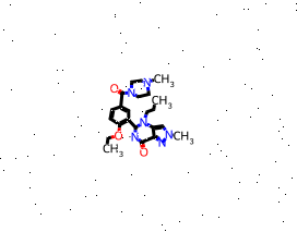 CCCN1c2cn(C)nc2C(=O)[N]C1c1cc(C(=O)N2CCN(C)CC2)ccc1OCC